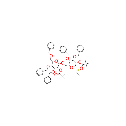 CCS[C@@H]1OC(CO[C@@H]2OC(COCc3ccccc3)[C@@H](OCc3ccccc3)[C@H](OCc3ccccc3)C2OC(=O)C(C)(C)C)[C@H](OCc2ccccc2)[C@H](OCc2ccccc2)C1OC(=O)C(C)(C)C